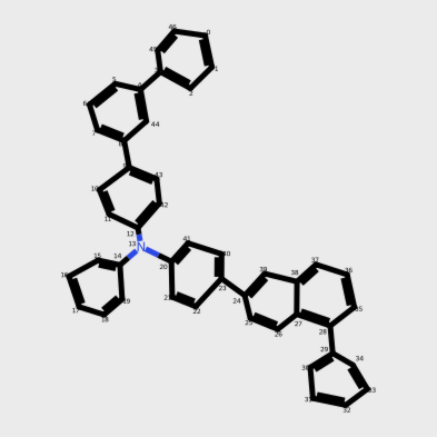 c1ccc(-c2cccc(-c3ccc(N(c4ccccc4)c4ccc(-c5ccc6c(-c7ccccc7)cccc6c5)cc4)cc3)c2)cc1